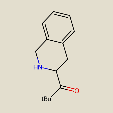 CC(C)(C)C(=O)C1Cc2ccccc2CN1